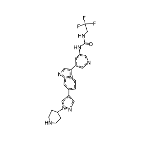 O=C(NCC(F)(F)F)Nc1cncc(-c2cnc3cc(-c4cnn(C5CCNCC5)c4)ccn23)c1